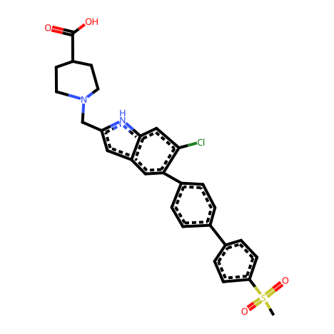 CS(=O)(=O)c1ccc(-c2ccc(-c3cc4cc(CN5CCC(C(=O)O)CC5)[nH]c4cc3Cl)cc2)cc1